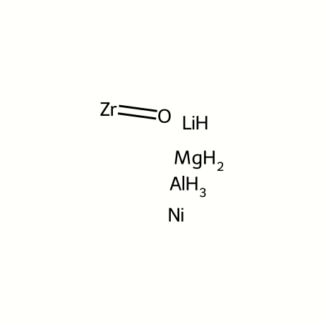 [AlH3].[LiH].[MgH2].[Ni].[O]=[Zr]